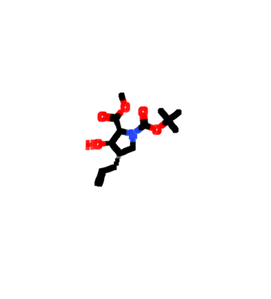 C=CC[C@H]1CN(C(=O)OC(C)(C)C)[C@H](C(=O)OC)[C@@H]1O